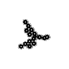 c1ccc(-c2ccc(-c3ccc(-c4ccc5c(c4)c4cc(-c6ccc(-c7ccc(-c8ccccc8)cc7-c7ccccc7)cc6-c6ccccc6)ccc4n5-c4ccc(-c5ccc6ccccc6c5)cc4)c(-c4ccccc4)c3)c(-c3ccccc3)c2)cc1